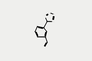 O=Cc1cccc(C2N=NN=N2)c1